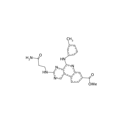 COC(=O)c1ccc2c(c1)nc(Nc1cccc(C)c1)c1nc(NCCC(N)=O)ncc12